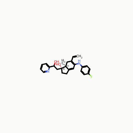 C=CC1=C(Nc2ccc(F)cc2)C=C2CC[C@@](O)(CC(O)c3ccccn3)[C@@]2(C)C1